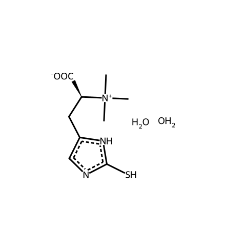 C[N+](C)(C)[C@@H](Cc1cnc(S)[nH]1)C(=O)[O-].O.O